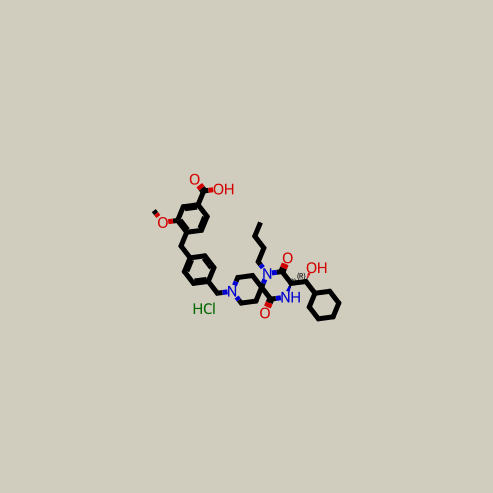 CCCCN1C(=O)[C@@H]([C@H](O)C2CCCCC2)NC(=O)C12CCN(Cc1ccc(Cc3ccc(C(=O)O)cc3OC)cc1)CC2.Cl